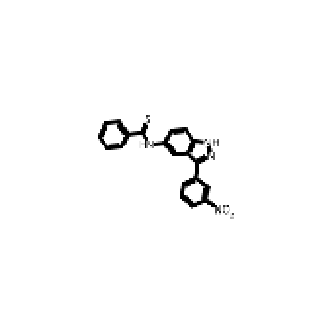 O=[N+]([O-])c1cccc(-c2n[nH]c3ccc(NC(=S)c4ccccc4)cc23)c1